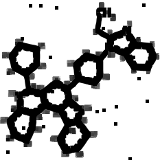 CCc1nc2ccccc2n1-c1ccc(-c2cc3c(-c4ccccc4)nc4ccccc4c3c3c2sc2ccccc23)cc1